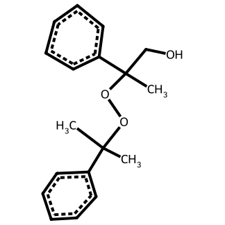 CC(C)(OOC(C)(CO)c1ccccc1)c1ccccc1